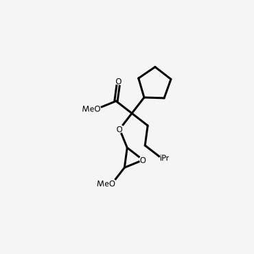 COC(=O)C(CCC(C)C)(OC1OC1OC)C1CCCC1